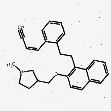 C#C/C=C\c1ccccc1CCc1c(OCC2CCN(C)C2)ccc2ccccc12